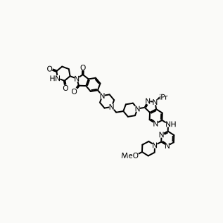 COC1CCN(c2nccc(Nc3cc4c(cn3)c(N3CCC(CN5CCN(c6ccc7c(c6)C(=O)N(C6CCC(=O)NC6=O)C7=O)CC5)CC3)nn4C(C)C)n2)CC1